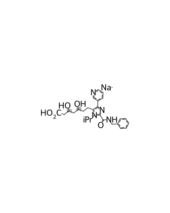 CC(C)n1c(C(=O)NCc2ccccc2)nc(-c2cccnc2)c1CC[C@@H](O)C[C@@H](O)CC(=O)O.[Na]